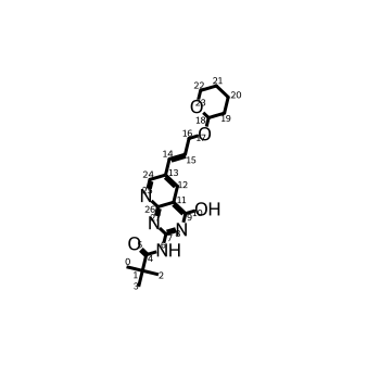 CC(C)(C)C(=O)Nc1nc(O)c2cc(C=CCOC3CCCCO3)cnc2n1